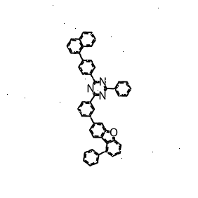 c1ccc(-c2nc(-c3ccc(-c4cccc5ccccc45)cc3)nc(-c3cccc(-c4ccc5c(c4)oc4cccc(-c6ccccc6)c45)c3)n2)cc1